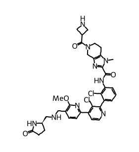 COc1nc(-c2ccnc(-c3cccc(NC(=O)c4nc5c(n4C)CCN(C(=O)C4CNC4)C5)c3Cl)c2Cl)ccc1CNC[C@H]1CCC(=O)N1